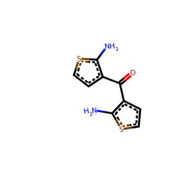 Nc1sccc1C(=O)c1ccsc1N